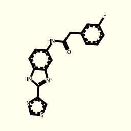 O=C(Cc1cccc(F)c1)Nc1ccc2c(c1)[N+]=C(c1cscn1)N2